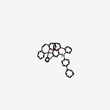 C1=Cc2ccccc2C2(c3ccccc31)c1ccccc1-c1cc(N(c3ccc(-c4ccccc4)cc3)c3ccccc3-c3ccccc3)ccc12